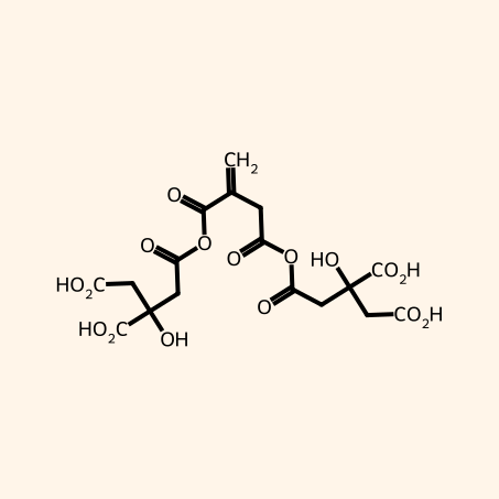 C=C(CC(=O)OC(=O)CC(O)(CC(=O)O)C(=O)O)C(=O)OC(=O)CC(O)(CC(=O)O)C(=O)O